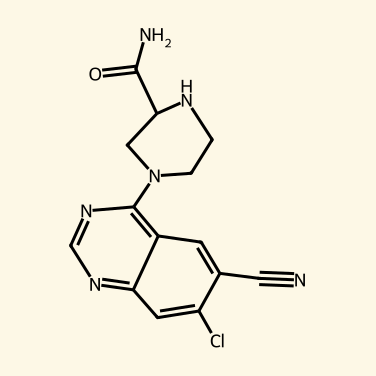 N#Cc1cc2c(N3CCNC(C(N)=O)C3)ncnc2cc1Cl